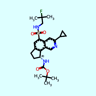 CC(C)(F)CNS(=O)(=O)c1cc2c(c3cnc(C4CC4)cc13)[C@H](NC(=O)OC(C)(C)C)CC2